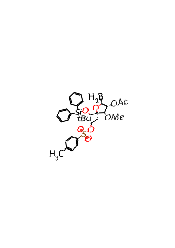 B[C@@H]1O[C@](CCOS(=O)(=O)c2ccc(C)cc2)(CO[Si](c2ccccc2)(c2ccccc2)C(C)(C)C)[C@@H](OC)[C@H]1OC(C)=O